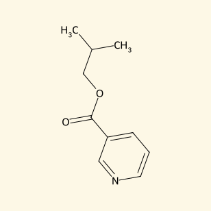 CC(C)COC(=O)c1cccnc1